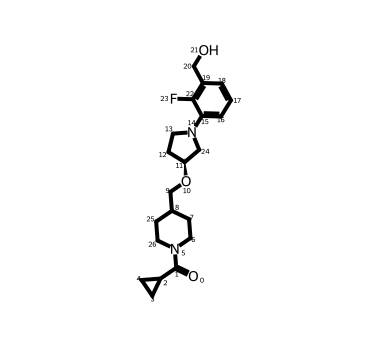 O=C(C1CC1)N1CCC(CO[C@H]2CCN(c3cccc(CO)c3F)C2)CC1